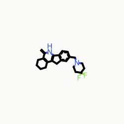 C=C1NC2=C(Cc3cc(CN4CCC(F)(F)CC4)ccc32)C2=C1CCCC2